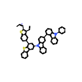 C=Cc1c(/C=C\C)sc2ccc(-c3cc(-n4c5ccccc5c5cc(-c6cccc7c6c6ccccc6n7-c6ccccc6)ccc54)cc4c3sc3ccccc34)cc12